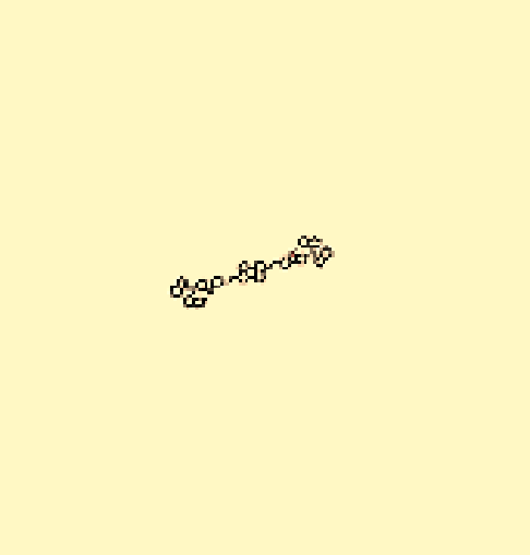 CC1(C)c2cc(/C=C/c3ccc4c5cccc6c(/C=C/c7ccc8c(c7)C(C)(C)c7cc(N(c9cccc%10ccccc9%10)c9cccc%10ccccc9%10)ccc7-8)ccc(c7cccc3c74)c65)ccc2-c2ccc(N(c3cccc4ccccc34)c3cccc4ccccc34)cc21